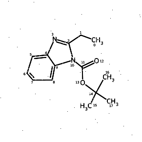 CCc1nc2ccccc2n1C(=O)OC(C)(C)C